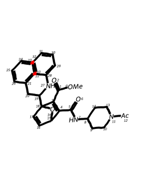 COC(=O)C1=C(C(=O)NC2CCN(C(C)=O)CC2)C2C=CC1(C(Cc1ccccc1)Nc1ccccc1)O2